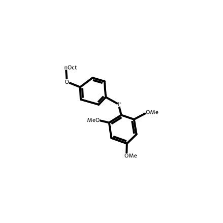 CCCCCCCCOc1ccc([I+]c2c(OC)cc(OC)cc2OC)cc1